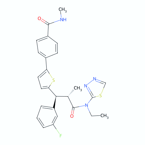 CCN(C(=O)[C@@H](C)[C@@H](c1cccc(F)c1)c1ccc(-c2ccc(C(=O)NC)cc2)s1)c1nncs1